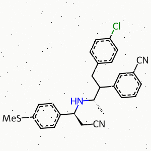 CSc1ccc([C@H](CC#N)N[C@@H](C)C(Cc2ccc(Cl)cc2)c2cccc(C#N)c2)cc1